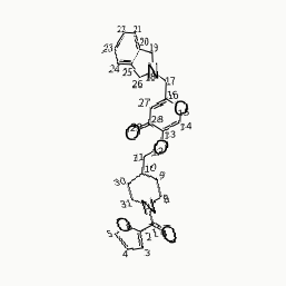 O=C(c1ccco1)N1CCC(COc2coc(CN3Cc4ccccc4C3)cc2=O)CC1